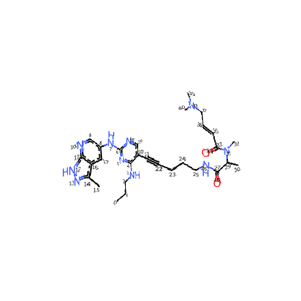 CCCNc1nc(Nc2cnc3[nH]nc(C)c3c2)ncc1C#CCCCNC(=O)C(C)N(C)C(=O)C=CCN(C)C